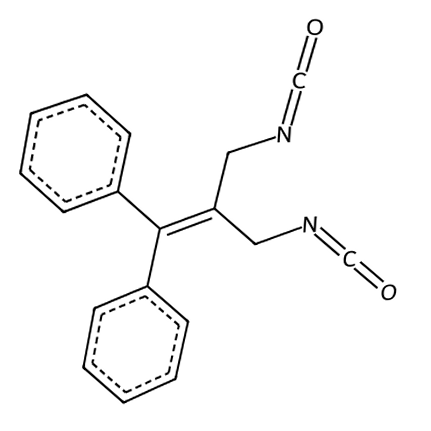 O=C=NCC(CN=C=O)=C(c1ccccc1)c1ccccc1